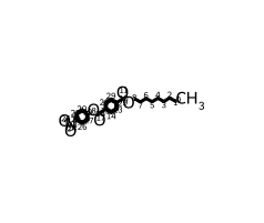 CCCCCCCCCOC(=O)c1ccc(C(=O)Oc2ccc([N+](=O)[O-])cc2)cc1